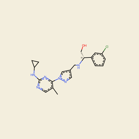 Cc1cnc(NC2CC2)nc1-n1cc(CN[C@H](CO)c2cccc(Cl)c2)cn1